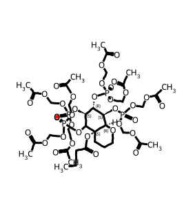 CCCC(=O)O[C@@]12CCCO[C@@H]1[C@H](OP(=O)(OCOC(C)=O)OCOC(C)=O)[C@@H](OP(=O)(OCOC(C)=O)OCOC(C)=O)[C@H](OP(=O)(OCOC(C)=O)OCOC(C)=O)C2OP(=O)(OCOC(C)=O)OCOC(C)=O